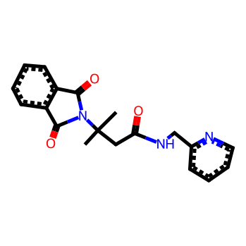 CC(C)(CC(=O)NCc1ccccn1)N1C(=O)c2ccccc2C1=O